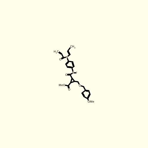 C=CC(=O)N(C=CC)c1ccc(N(F)C(=O)C2C(COCc3ccc(OC)cc3)C2C(=O)OC)cc1